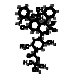 C[C@@H]1CN(C2=NS(=O)(=O)N(c3ccccc3C(C)(C)C)c3nc(-c4ccccc4F)c(Cl)cc32)[C@@H](C)CN1C(=O)OC(C)(C)C